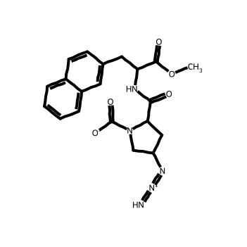 COC(=O)C(Cc1ccc2ccccc2c1)NC(=O)C1CC(N=[N+]=N)CN1C(=O)[O-]